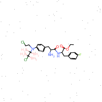 BC(B)(Cl)C(B)(B)N(CCCl)c1ccc(CC(N)C(=O)NC(Cc2ccc(F)cc2)C(=O)OCC)cc1